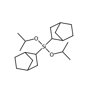 CC(C)O[Si](OC(C)C)(C1CC2CCC1C2)C1CC2CCC1C2